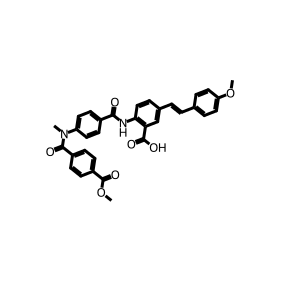 COC(=O)c1ccc(C(=O)N(C)c2ccc(C(=O)Nc3ccc(/C=C/c4ccc(OC)cc4)cc3C(=O)O)cc2)cc1